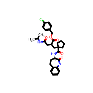 CC(C)NC(=O)CC(CC1(C(=O)N[C@H]2CCc3ccccc3[N]C2=O)CCCC1)C(=O)OCc1ccc(Cl)cc1